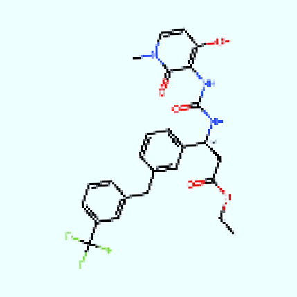 CCOC(=O)C[C@H](NC(=O)Nc1c(O)ccn(C)c1=O)c1cccc(Cc2cccc(C(F)(F)F)c2)c1